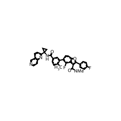 CNC(=O)c1c(-c2ccc(F)cc2)oc2ccc(-c3cc(C(=O)NC4(c5ccc6cnccc6n5)CC4)ccc3C)c(F)c12